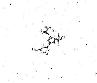 CC(C)NC(=O)c1cc(C(N)=O)cc(C(F)(F)F)c1